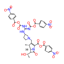 C[C@@H](O)C1C(=O)N2C(C(=O)OC(=O)c3ccc([N+](=O)[O-])cc3)=C(CN3CC[C@@H](NC(=NC(=O)OC(=O)c4ccc([N+](=O)[O-])cc4)NC(=O)OC(=O)c4ccc([N+](=O)[O-])cc4)C3)[C@H](C)[C@H]12